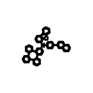 c1ccc2c(c1)-c1ccccc1-c1ccc(N(c3ccc(-c4ccc5ccccc5c4)cc3)c3cccc4c3oc3ccccc34)cc1-c1ccccc1-2